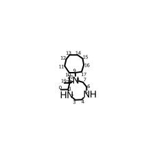 CC1NCCNCCN(C2CCCCCCCC2)C1(C)C